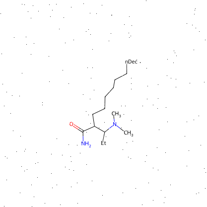 CCCCCCCCCCCCCCCCC(C(N)=O)C(CC)N(C)C